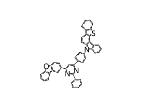 c1ccc(-c2nc(-c3ccc(-n4c5ccccc5c5c6sc7ccccc7c6ccc54)cc3)cc(-c3ccc4oc5ccccc5c4c3)n2)cc1